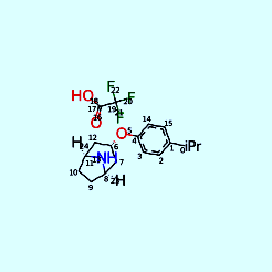 CC(C)c1ccc(O[C@@H]2C[C@H]3CC[C@@H](C2)N3)cc1.O=C(O)C(F)(F)F